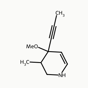 CC#CC1(OC)C=CNCC1C